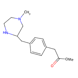 COC(=O)Cc1ccc(CC2CN(C)CCN2)cc1